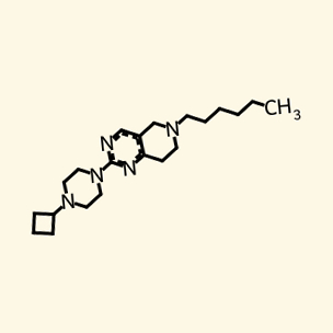 CCCCCCN1CCc2nc(N3CCN(C4CCC4)CC3)ncc2C1